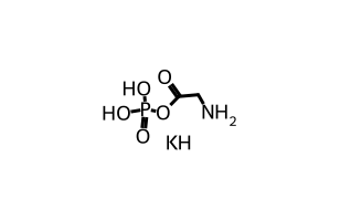 NCC(=O)OP(=O)(O)O.[KH]